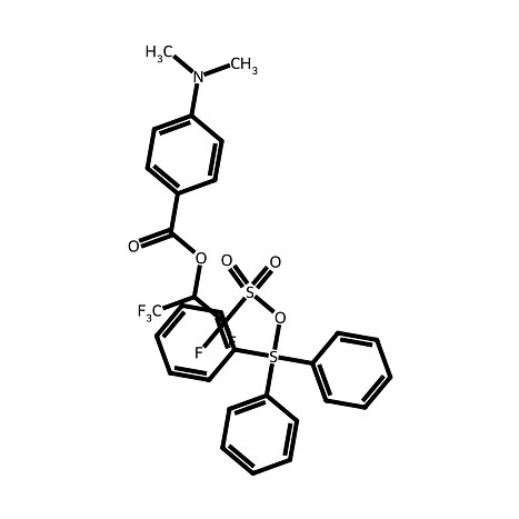 CN(C)c1ccc(C(=O)OC(C(F)(F)F)C(F)(F)S(=O)(=O)OS(c2ccccc2)(c2ccccc2)c2ccccc2)cc1